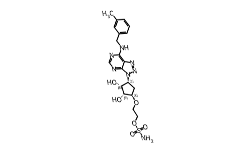 Cc1cccc(CNc2ncnc3c2nnn3[C@H]2C[C@@H](OCCOS(N)(=O)=O)[C@H](O)[C@@H]2O)c1